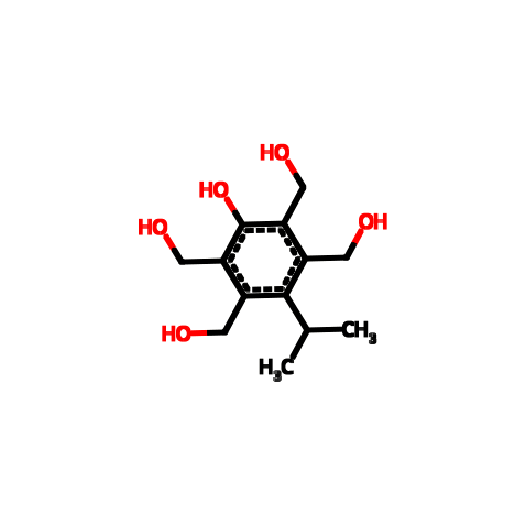 CC(C)c1c(CO)c(CO)c(O)c(CO)c1CO